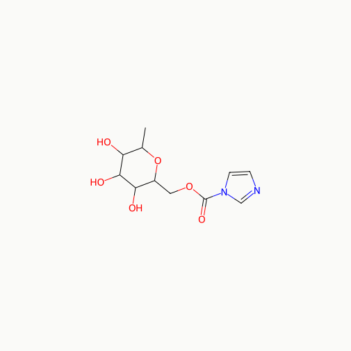 CC1OC(COC(=O)n2ccnc2)C(O)C(O)C1O